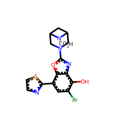 O=C(O)N1C2CC1CN(c1nc3c(O)c(Br)cc(-c4nccs4)c3o1)C2